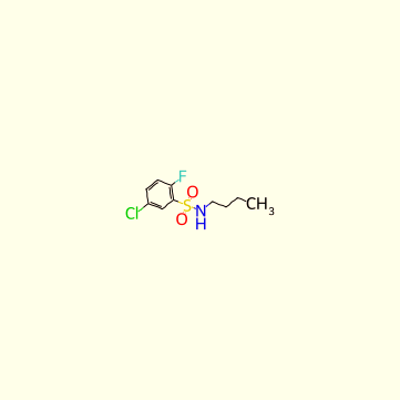 CCCCNS(=O)(=O)c1cc(Cl)ccc1F